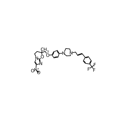 CC1(COc2ccc(N3CCN(C/C=C/c4ccc(C(F)(F)F)cc4)CC3)cc2)CCn2cc([N+](=O)[O-])nc2O1